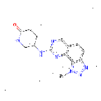 CC(C)n1nnc2ccc3cnc(NC4CCC(=O)NC4)nc3c21